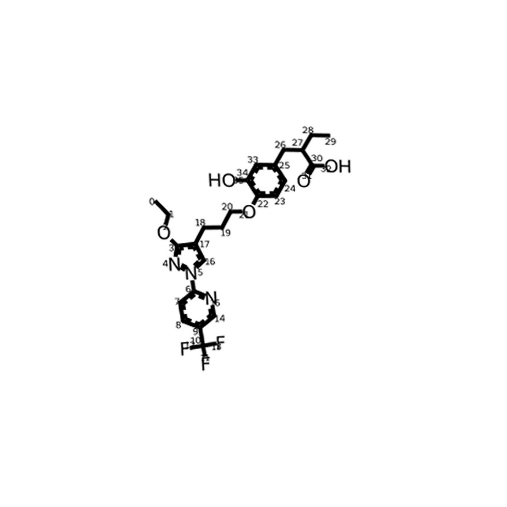 CCOc1nn(-c2ccc(C(F)(F)F)cn2)cc1CCCOc1ccc(CC(CC)C(=O)O)cc1O